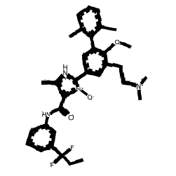 CCC(F)(F)c1cccc(NC(=O)c2c(C)[nH]c(-c3cc(CCN(C)C)c(OC)c(-c4c(C)cccc4C)c3)[n+]2[O-])c1